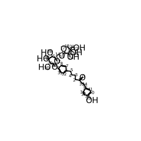 O=C(CCCCc1ccc(O[C@@H]2O[C@H](CO[C@@H]3OC[C@](O)(CO)[C@H]3O)[C@@H](O)[C@H](O)[C@H]2O)cc1)CCc1ccc(O)cc1